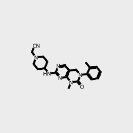 Cc1ccccc1N1Cc2cnc(NC3CCN(CC#N)CC3)nc2N(C)C1=O